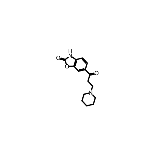 O=C(CCN1CCCCC1)c1ccc2[nH]c(=O)oc2c1